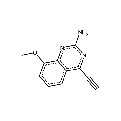 C#Cc1nc(N)nc2c(OC)cccc12